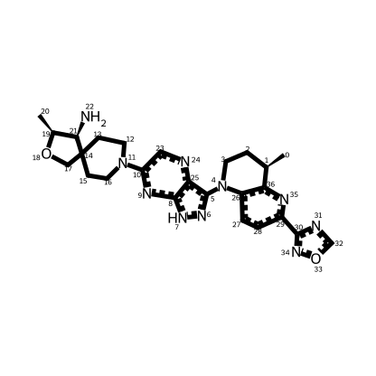 C[C@@H]1CCN(c2n[nH]c3nc(N4CCC5(CC4)CO[C@@H](C)[C@H]5N)cnc23)c2ccc(-c3ncon3)nc21